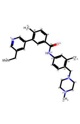 CNCc1cncc(-c2cc(C(=O)Nc3ccc(CN4CCN(C)CC4)c(C(F)(F)F)c3)ccc2C)c1